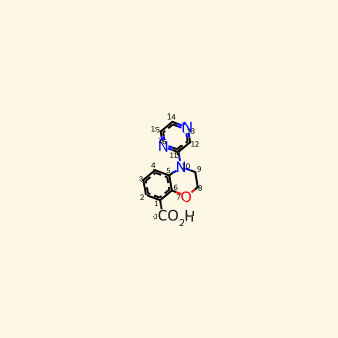 O=C(O)c1cccc2c1OCCN2c1cnccn1